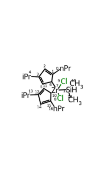 CCCC1=CC(C(C)C)=C[CH]1[Zr]([Cl])([Cl])([CH]1C=C(C(C)C)C=C1CCC)[SiH](C)C